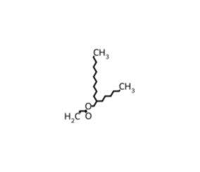 C=CC(=O)OCC(CCCCCC)CCCCCCCCCC